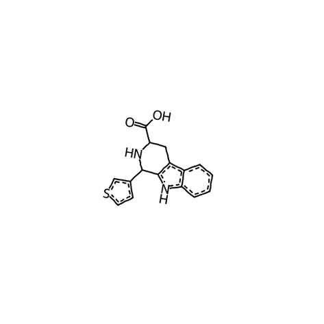 O=C(O)C1Cc2c([nH]c3ccccc23)C(c2ccsc2)N1